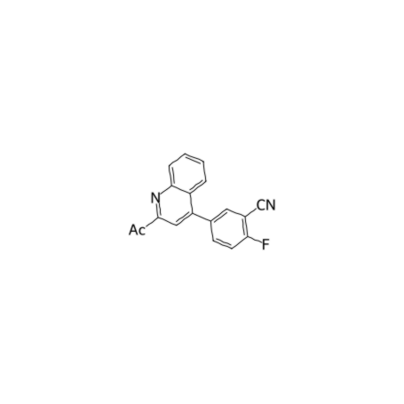 CC(=O)c1cc(-c2ccc(F)c(C#N)c2)c2ccccc2n1